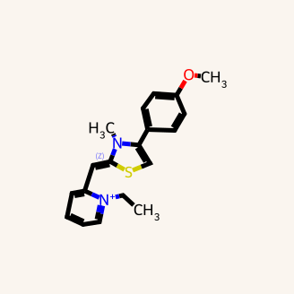 CC[n+]1ccccc1/C=C1\SC=C(c2ccc(OC)cc2)N1C